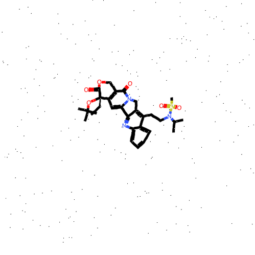 CC[C@@]1(OC(C)(C)C)C(=O)OCc2c1cc1n(c2=O)Cc2c-1nc1ccccc1c2CCN(C(C)C)S(C)(=O)=O